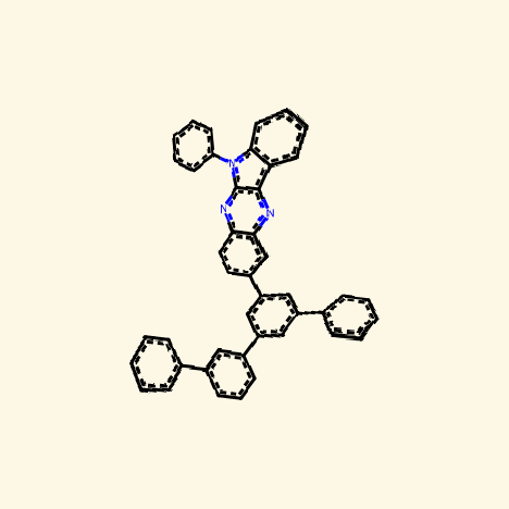 c1ccc(-c2cccc(-c3cc(-c4ccccc4)cc(-c4ccc5nc6c(nc5c4)c4ccccc4n6-c4ccccc4)c3)c2)cc1